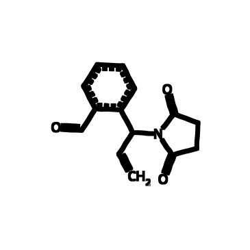 C=CC(c1ccccc1C=O)N1C(=O)CCC1=O